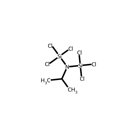 CC(C)N([Si](Cl)(Cl)Cl)[Si](Cl)(Cl)Cl